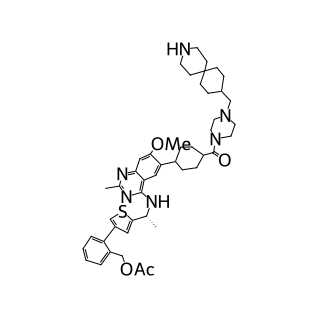 COc1cc2nc(C)nc(N[C@H](C)c3cc(-c4ccccc4COC(C)=O)cs3)c2cc1C1CCC(C(=O)N2CCN(CC3CCC4(CCNCC4)CC3)CC2)CC1